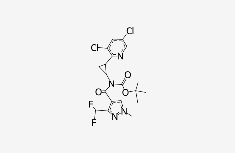 Cn1cc(C(=O)N(C(=O)OC(C)(C)C)C2CC2c2ncc(Cl)cc2Cl)c(C(F)F)n1